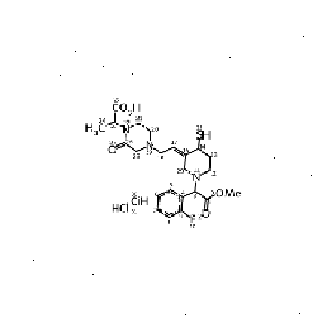 COC(=O)C(c1ccccc1F)N1CCC(S)C(=CCN2CCN(C(C)C(=O)O)C(=O)C2)C1.Cl.Cl